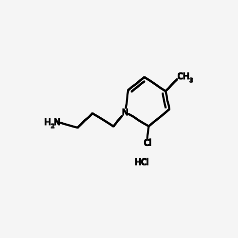 CC1=CC(Cl)N(CCCN)C=C1.Cl